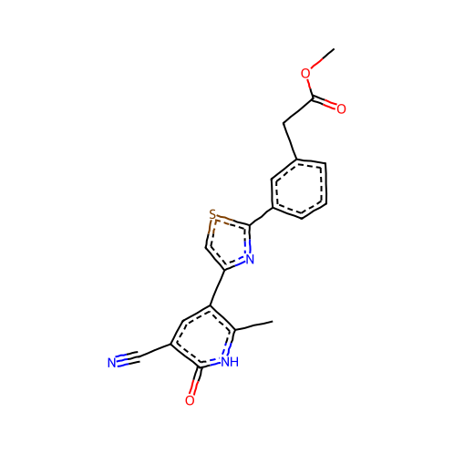 COC(=O)Cc1cccc(-c2nc(-c3cc(C#N)c(=O)[nH]c3C)cs2)c1